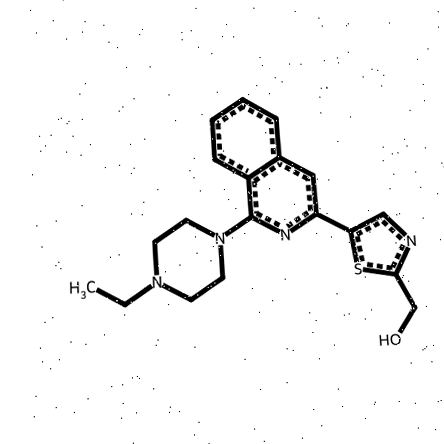 CCN1CCN(c2nc(-c3cnc(CO)s3)cc3ccccc23)CC1